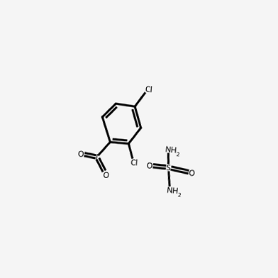 NS(N)(=O)=O.O=I(=O)c1ccc(Cl)cc1Cl